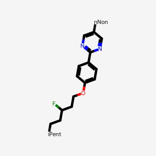 CCCCCCCCCc1cnc(-c2ccc(OCCC(F)CCC(C)CCC)cc2)nc1